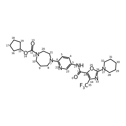 O=C(Nc1ccc(N2CCCN(C(=O)OC3CCCC3)CC2)nc1)c1oc(N2CCCCC2)nc1C(F)(F)F